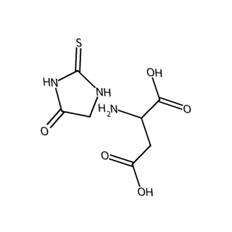 NC(CC(=O)O)C(=O)O.O=C1CNC(=S)N1